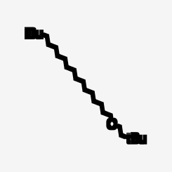 CCC(C)CCCCCCCCCCCCCCCOCCC(C)(C)C